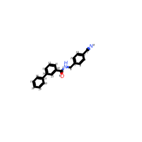 N#Cc1ccc(CNC(=O)c2cccc(-c3ccccc3)c2)cc1